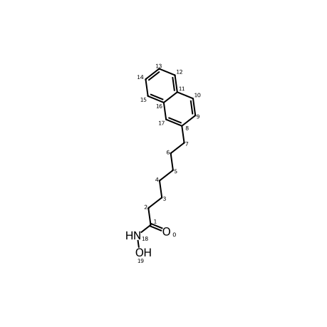 O=C(CCCCCCc1ccc2ccccc2c1)NO